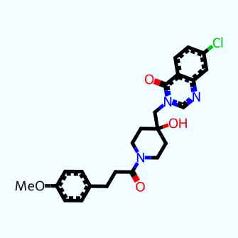 COc1ccc(CCC(=O)N2CCC(O)(Cn3cnc4cc(Cl)ccc4c3=O)CC2)cc1